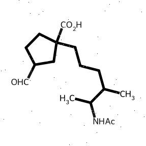 CC(=O)NC(C)C(C)CCCC1(C(=O)O)CCC(C=O)C1